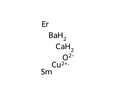 [BaH2].[CaH2].[Cu+2].[Er].[O-2].[Sm]